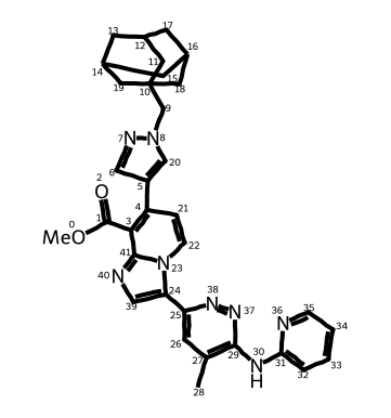 COC(=O)c1c(-c2cnn(CC34CC5CC(CC(C5)C3)C4)c2)ccn2c(-c3cc(C)c(Nc4ccccn4)nn3)cnc12